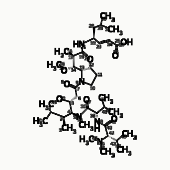 CC[C@H](C)[C@@H]([C@@H](CC(=O)N1CCC[C@H]1[C@H](OC)[C@@H](C)C(=O)N[C@H](/C=C/C(=O)O)CC(C)C)OC)N(C)C(=O)[C@@H](NC(=O)[C@H](C(C)C)N(C)C)C(C)C